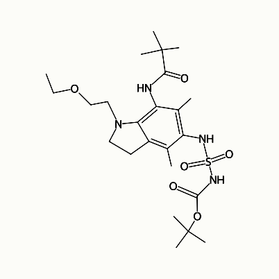 CCOCCN1CCc2c(C)c(NS(=O)(=O)NC(=O)OC(C)(C)C)c(C)c(NC(=O)C(C)(C)C)c21